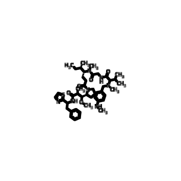 CC[C@H](C)[C@@H](CCC(=O)N1CCC[C@H]1C(OC)C(C)C(=O)NC(Cc1ccccc1)c1nccs1)N(C)C(=O)CNC(=O)C(C(C)C)N(C)Cc1ccc(NC)cc1